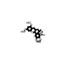 CCCCOc1cc(O)c(/C=C(/CC(C)(C)[Si](C)(C)O)C(C)c2ccc(OCCCC)c(OCCCC)c2)c(OCCCC)c1